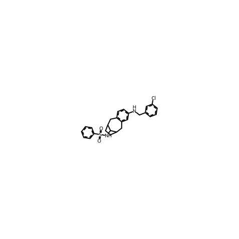 O=S(=O)(NC1C2CCC1Cc1cc(NCc3cccc(Cl)c3)ccc1C2)c1ccccc1